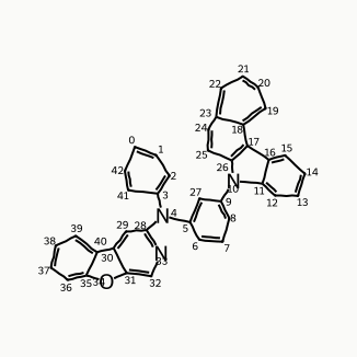 c1ccc(N(c2cccc(-n3c4ccccc4c4c5ccccc5ccc43)c2)c2cc3c(cn2)oc2ccccc23)cc1